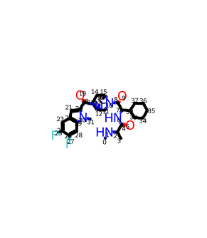 CNC(C)C(=O)NC(C(=O)N1CC2CCC1CN2C(=O)c1cc2cc(F)c(F)cc2n1C)C1CCCCC1